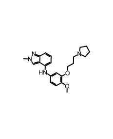 COc1ccc(Nc2cccc3nn(C)cc23)cc1OCCCN1CCCC1